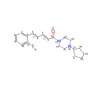 O=C(/C=C/C=C/c1ccccc1F)N1CCN(C2CCCC2)CC1